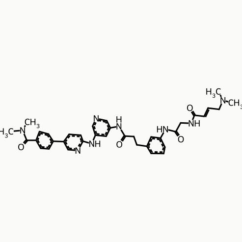 CN(C)CC=CC(=O)NCC(=O)Nc1cccc(CCC(=O)Nc2cncc(Nc3ccc(-c4ccc(C(=O)N(C)C)cc4)cn3)c2)c1